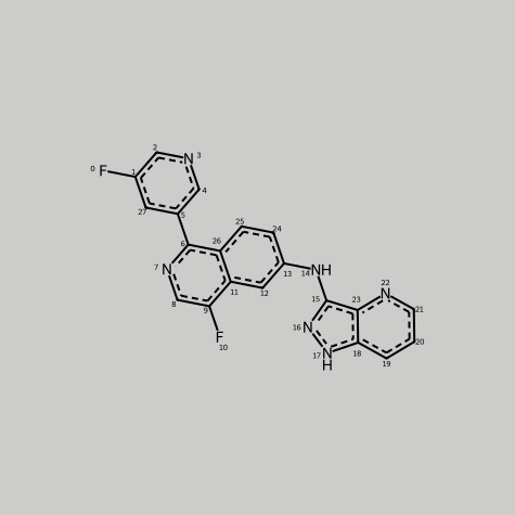 Fc1cncc(-c2ncc(F)c3cc(Nc4n[nH]c5cccnc45)ccc23)c1